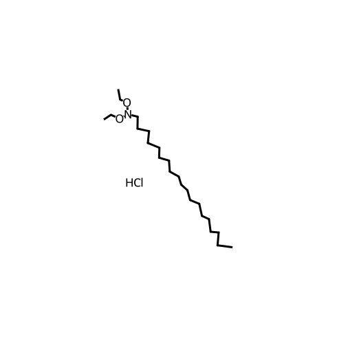 CCCCCCCCCCCCCCCCCCCN(OCC)OCC.Cl